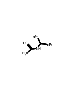 BC(=C)NC(CCC)CCC